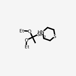 C1CSCCN1.CCOC(C)([SiH3])OCC